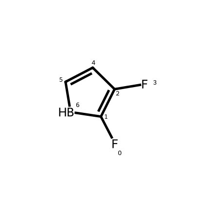 FC1=C(F)C=CB1